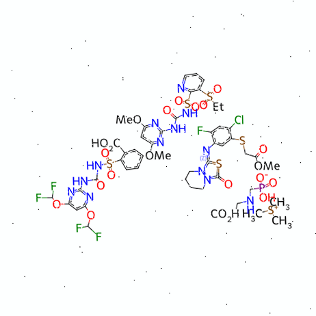 CCS(=O)(=O)c1cccnc1S(=O)(=O)NC(=O)Nc1nc(OC)cc(OC)n1.COC(=O)CSc1cc(/N=c2\sc(=O)n3n2CCCC3)c(F)cc1Cl.C[S+](C)C.O=C(Nc1nc(OC(F)F)cc(OC(F)F)n1)NS(=O)(=O)c1ccccc1C(=O)O.O=C(O)CNCP(=O)([O-])O